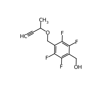 C#CC(C)OCc1c(F)c(F)c(CO)c(F)c1F